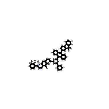 C/N=C(/C=C\c1ccc2ccc(-c3nc(-c4ccccc4)nc(-c4c5ccccc5c(-c5ccc6c(c5)C(C)(C)c5ccccc5-6)c5ccccc45)n3)nc2c1C)c1ccccc1O